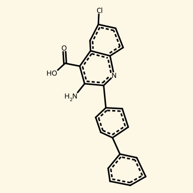 Nc1c(-c2ccc(-c3ccccc3)cc2)nc2ccc(Cl)cc2c1C(=O)O